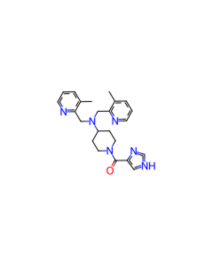 Cc1cccnc1CN(Cc1ncccc1C)C1CCN(C(=O)c2c[nH]cn2)CC1